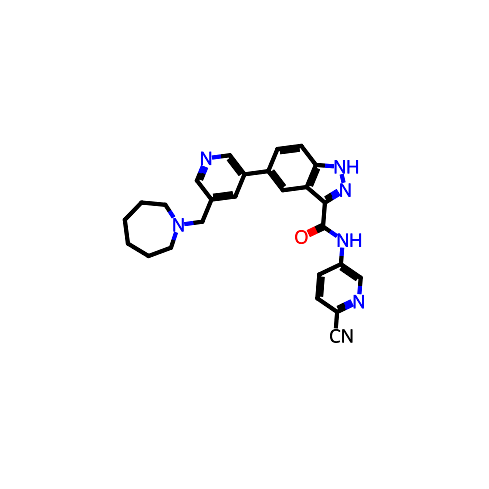 N#Cc1ccc(NC(=O)c2n[nH]c3ccc(-c4cncc(CN5CCCCCC5)c4)cc23)cn1